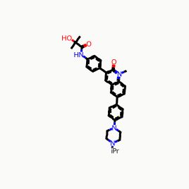 CC(C)N1CCN(c2ccc(-c3ccc4c(c3)cc(-c3ccc(NC(=O)C(C)(C)O)cc3)c(=O)n4C)cc2)CC1